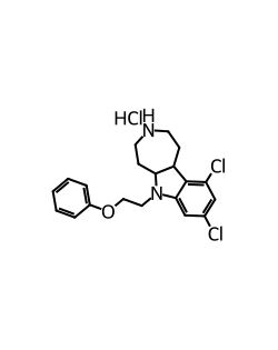 Cl.Clc1cc(Cl)c2c(c1)N(CCOc1ccccc1)C1CCNCCC21